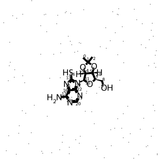 CC1(C)O[C@@H]2[C@H](O1)[C@@H](CO)O[C@H]2n1c(S)nc2c(N)ncnc21